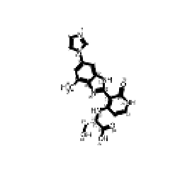 Cc1cc(-n2ccnc2)cc2[nH]c(-c3c(N[C@@H](CO)C(=O)O)cc[nH]c3=O)nc12